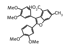 COc1ccc(-c2oc3cc(C)cc(C(=O)O)c3c2-c2ccc(OC)c(OC)c2)cc1OC